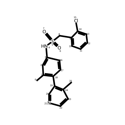 Cc1cc(NS(=O)(=O)Cc2ccccc2Cl)ccc1-c1cnccc1C